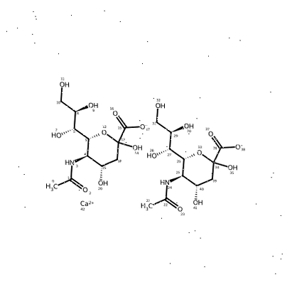 CC(=O)N[C@H]1[C@H]([C@H](O)[C@H](O)CO)OC(O)(C(=O)[O-])C[C@@H]1O.CC(=O)N[C@H]1[C@H]([C@H](O)[C@H](O)CO)OC(O)(C(=O)[O-])C[C@@H]1O.[Ca+2]